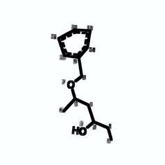 CCC(O)CC(C)OCc1ccccc1